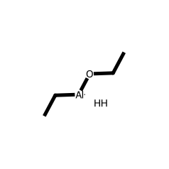 CC[O][Al][CH2]C.[HH]